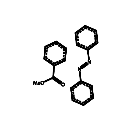 COC(=O)c1ccccc1.c1ccc(N=Nc2ccccc2)cc1